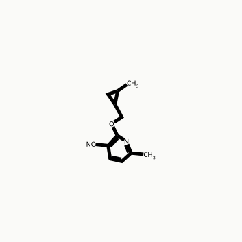 Cc1ccc(C#N)c(OCC2CC2C)n1